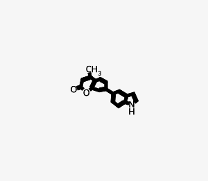 Cc1cc(=O)oc2cc(-c3ccc4[nH]ccc4c3)ccc12